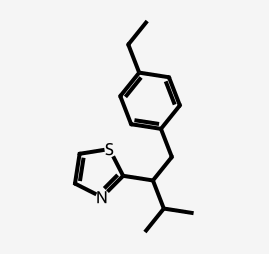 CCc1ccc(CC(c2nccs2)C(C)C)cc1